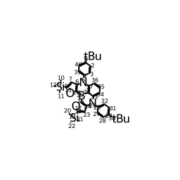 CC(C)(C)c1ccc(N2c3cc([Si](C)(C)C)oc3B3c4oc([Si](C)(C)C)cc4N(c4ccc(C(C)(C)C)cc4)c4cccc2c43)cc1